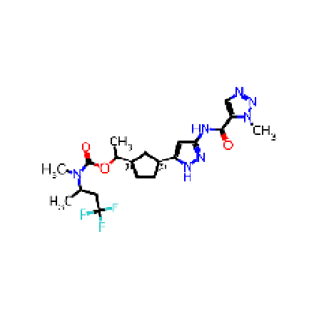 CC(OC(=O)N(C)C(C)CC(F)(F)F)[C@@H]1CC[C@H](c2cc(NC(=O)c3cnnn3C)n[nH]2)C1